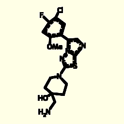 COc1cc(F)c(Cl)cc1-c1cnc2sc(N3CCC(O)(CN)CC3)nn12